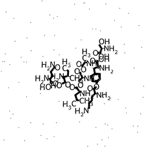 CC(C)C[C@H](N)C(=O)OC[C@H](N)C(=O)OC(=O)[C@H](C)N.CC[C@H](C)[C@H](N)C(=O)O.NC(=O)CC[C@H](N)C(=O)O.NCCCC[C@H](N)C(=O)Oc1ccc(C[C@H](N)C(=O)O)cc1.N[C@@H](CO)C(=O)O